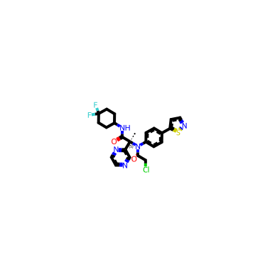 C[C@@](C(=O)NC1CCC(F)(F)CC1)(c1cnccn1)N(C(=O)CCl)c1ccc(-c2ccns2)cc1